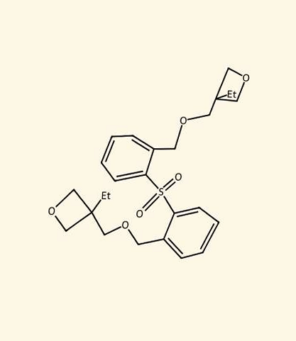 CCC1(COCc2ccccc2S(=O)(=O)c2ccccc2COCC2(CC)COC2)COC1